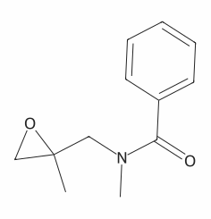 CN(CC1(C)CO1)C(=O)c1ccccc1